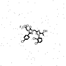 CC(O)c1nc(Cn2nc(-c3ccc(Cl)cc3)n(C[C@H](O)C(F)(F)F)c2=O)nn1-c1cccc(Cl)c1Cl